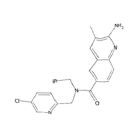 Cc1cc2cc(C(=O)N(Cc3ccc(Cl)cn3)CC(C)C)ccc2nc1N